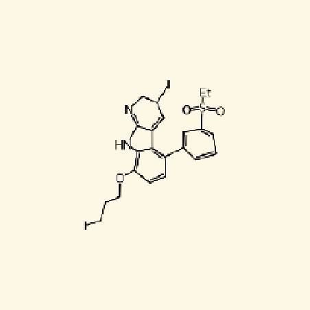 CCS(=O)(=O)c1cccc(-c2ccc(OCCCI)c3[nH]c4c(c23)=CC(I)CN=4)c1